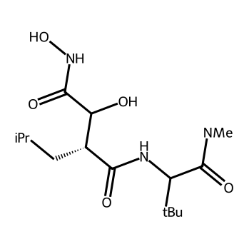 CNC(=O)C(NC(=O)[C@H](CC(C)C)C(O)C(=O)NO)C(C)(C)C